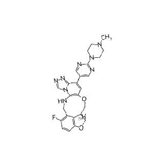 CN1CCN(c2ncc(-c3cc4c(n5cnnc35)NCc3c(F)ccc5c3[C@@H](CO5)CO4)cn2)CC1